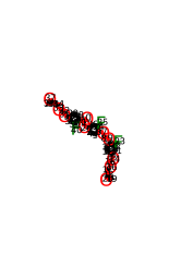 O=C(Oc1ccc(OCOc2ccc(OCOCC3CO3)cc2F)c(F)c1)c1ccc(OCOCC2CO2)cc1F